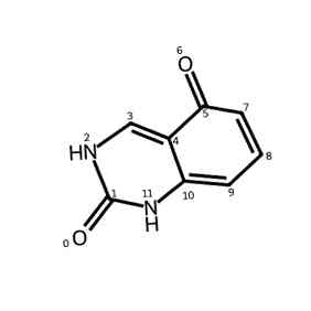 O=c1[nH]cc2c(=O)cccc-2[nH]1